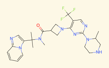 CC1CNCCN1c1ncc(C(F)(F)F)c(N2CC(C(=O)N(C)C(C)(C)c3cnc4ccccn34)C2)n1